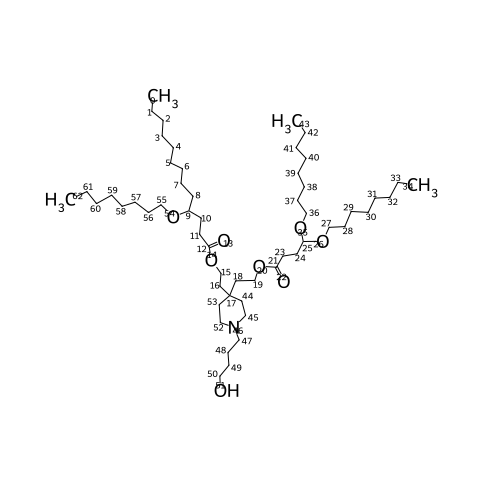 CCCCCCCCCC(CCC(=O)OCCC1(CCOC(=O)CCC(OCCCCCCCC)OCCCCCCCC)CCN(CCCCO)CC1)OCCCCCCCC